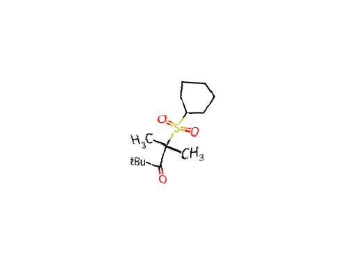 CC(C)(C)C(=O)C(C)(C)S(=O)(=O)C1CCCCC1